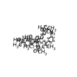 CC(=O)O[C@H]1C[C@@]2(C)[C@H](C[C@@H](O)[C@@H]3[C@@]4(C)CC[C@@H](O)[C@@H](C)C4CC[C@@]32C)C1=C(CCC(=C(C)C)c1cccc(C#N)c1)C(=O)OCOC(=O)C(C)(C)C